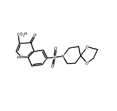 O=C(O)c1c[nH]c2ccc(S(=O)(=O)N3CCC4(CC3)OCCO4)cc2c1=O